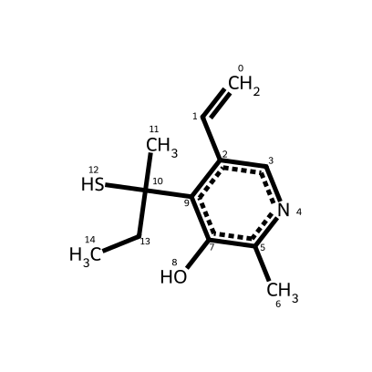 C=Cc1cnc(C)c(O)c1C(C)(S)CC